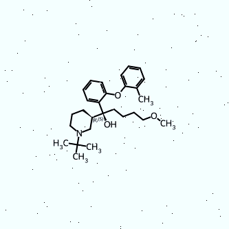 COCCCC[C@@](O)(c1ccccc1Oc1ccccc1C)[C@@H]1CCCN(C(C)(C)C)C1